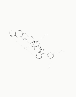 CCCOc1cc(OCCC)cc(C2=C3C4=C5C=C6CC7=CC8=C(C=CC9CC%10=C(C=C9C8)CC8=C(C=C%10)CC(C(=C8)C5)C3=C(c3cc(OCCC)cc(OCCC)c3)C2=O)CC7C=CC6C4)c1